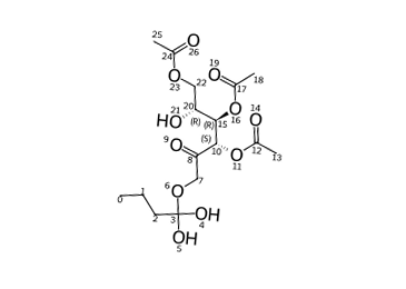 CCCC(O)(O)OCC(=O)[C@@H](OC(C)=O)[C@H](OC(C)=O)[C@H](O)COC(C)=O